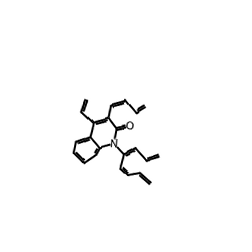 C=C/C=C\C(=C/C=C)n1c(=O)c(/C=C\C=C)c(C=C)c2ccccc21